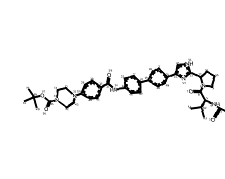 COC(=O)NC(C(=O)N1CCCC1c1nc(-c2ccc(-c3ccc(NC(=O)c4ccc(N5CCN(C(=O)OC(C)(C)C)CC5)cc4)cc3)cc2)c[nH]1)C(C)C